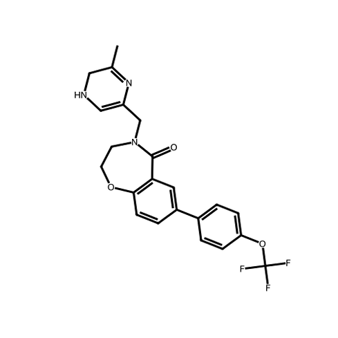 CC1=NC(CN2CCOc3ccc(-c4ccc(OC(F)(F)F)cc4)cc3C2=O)=CNC1